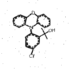 CC(C)(O)c1cc(Cl)ccc1N1c2ccccc2Oc2ccccc21